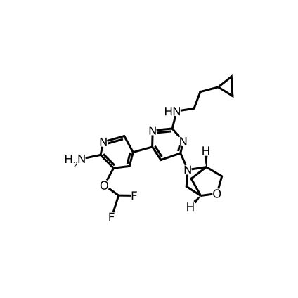 Nc1ncc(-c2cc(N3C[C@@H]4C[C@H]3CO4)nc(NCCC3CC3)n2)cc1OC(F)F